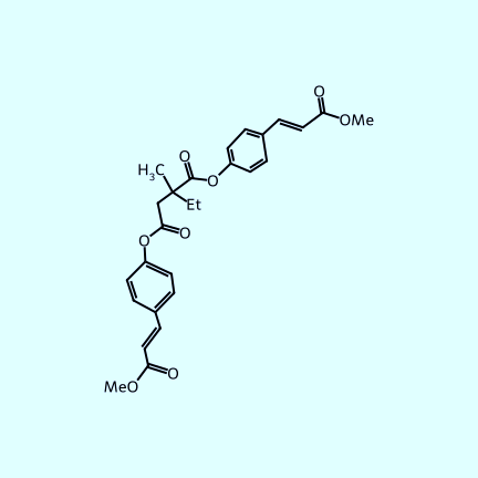 CCC(C)(CC(=O)Oc1ccc(/C=C/C(=O)OC)cc1)C(=O)Oc1ccc(/C=C/C(=O)OC)cc1